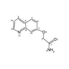 NC(=O)COc1ccc2cccnc2c1